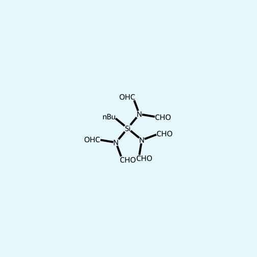 [CH2]CCC[Si](N(C=O)C=O)(N(C=O)C=O)N(C=O)C=O